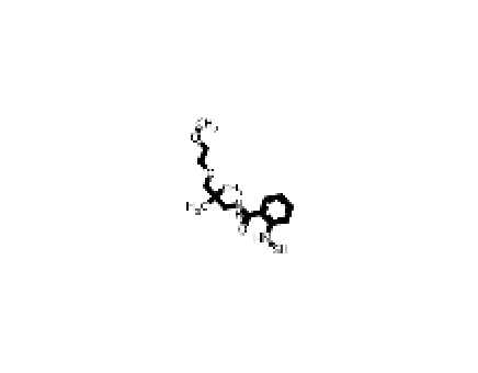 COCCOCC(C)(C)CNC(=O)c1ccccc1NS